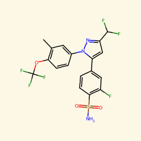 Cc1cc(-n2nc(C(F)F)cc2-c2ccc(S(N)(=O)=O)c(F)c2)ccc1OC(F)(F)F